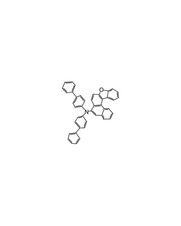 c1ccc(-c2ccc(N(c3ccc(-c4ccccc4)cc3)c3cc4ccccc4c4c3ccc3oc5ccccc5c34)cc2)cc1